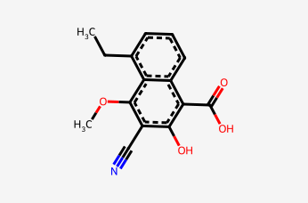 CCc1cccc2c(C(=O)O)c(O)c(C#N)c(OC)c12